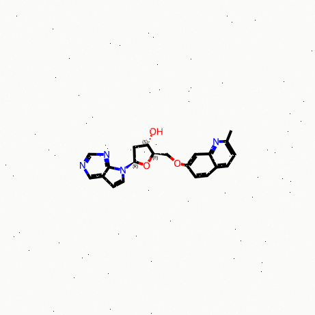 Cc1ccc2ccc(OC[C@H]3O[C@@H](n4ccc5cncnc54)C[C@@H]3O)cc2n1